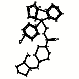 CCCC1CCCN1CC1CCN(C(=O)CCC2(c3ccc(Cl)cc3)c3ccccc3-c3nccn32)CC1